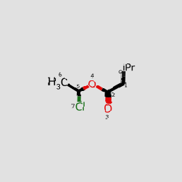 CC(C)CC(=O)OC(C)Cl